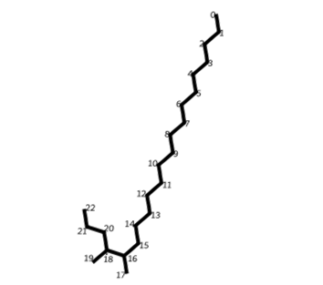 CCCCCCCCCCCCCCCCC(C)[C](C)CCC